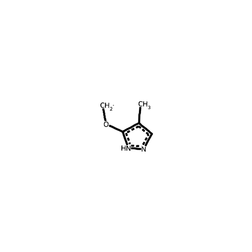 [CH2]Oc1[nH]ncc1C